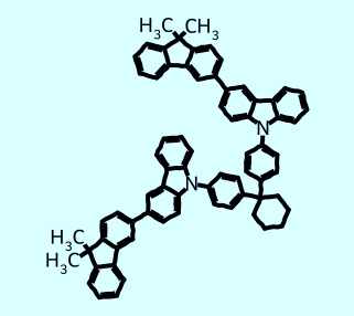 CC1(C)c2ccccc2-c2cc(-c3ccc4c(c3)c3ccccc3n4-c3ccc(C4(c5ccc(-n6c7ccccc7c7cc(-c8ccc9c(c8)-c8ccccc8C9(C)C)ccc76)cc5)CCCCC4)cc3)ccc21